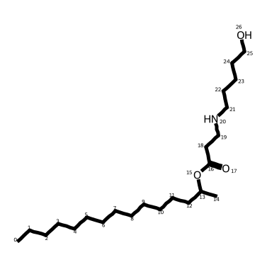 CCCCCCCCCCCCCC(C)OC(=O)CCNCCCCCO